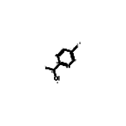 CC(O)c1ccc(I)cn1